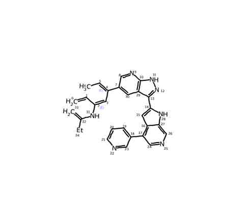 C=C/C(=C\C(=C/C)c1cnc2[nH]nc(-c3cc4c(-c5cccnc5)cncc4[nH]3)c2c1)NC(=C)CC